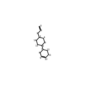 C=CCC1CCC(C2CC=CCC2)CC1